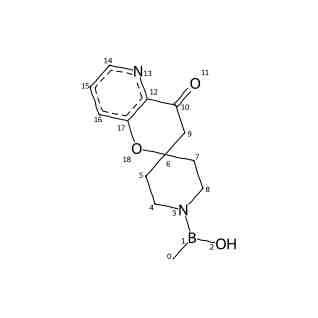 CB(O)N1CCC2(CC1)CC(=O)c1ncccc1O2